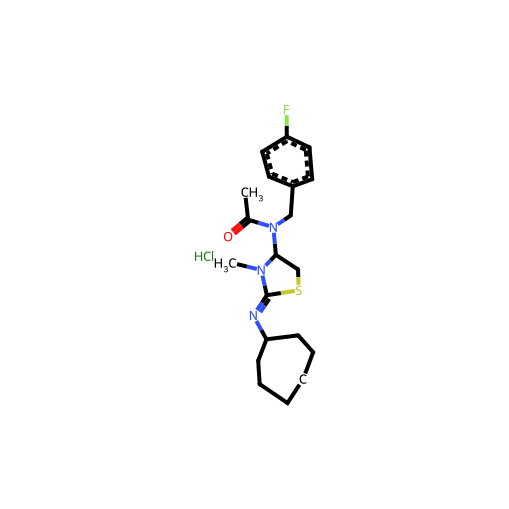 CC(=O)N(Cc1ccc(F)cc1)C1CSC(=NC2CCCCCC2)N1C.Cl